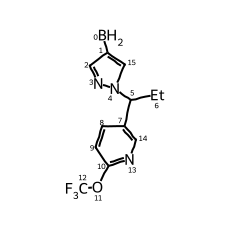 Bc1cnn(C(CC)c2ccc(OC(F)(F)F)nc2)c1